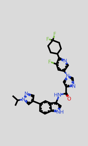 CC(C)n1cc(-c2ccc3[nH]cc(NC(=O)c4cn(-c5cnc(C6CCC(F)(F)CC6)c(F)c5)cn4)c3c2)cn1